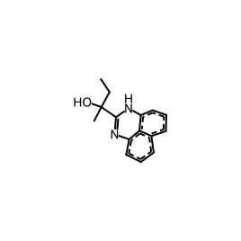 CCC(C)(O)C1=Nc2cccc3cccc(c23)N1